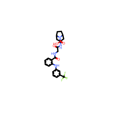 O=C(CNC(=O)c1ccccc1Nc1cccc(C(F)(F)F)c1)NC1CC2CCC(C1)N2C(=O)O